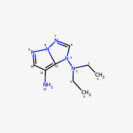 CCN(CC)n1cnn2ncc(N)c12